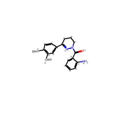 COc1ccc(C2=NN(C(=O)c3ccccc3N)CCC2)cc1OC